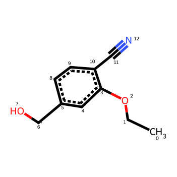 CCOc1cc([CH]O)ccc1C#N